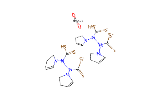 S=C([S-])N(N1C=CCC1)N(C(=S)S)N1C=CCC1.S=C([S-])N(N1C=CCC1)N(C(=S)S)N1C=CCC1.[O]=[Mo+2]=[O]